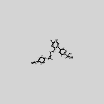 Cc1ncc(-c2ccc(C(C)(C)O)nc2)c(OC[C@H]2C[C@@H]2c2ccc(C#N)cn2)n1